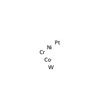 [Co].[Cr].[Ni].[Pt].[W]